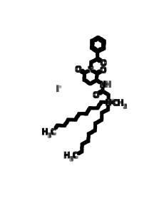 CCCCCCCCCC[N+](C)(CCCCCCCCCC)CC(=O)NC1CCC(=O)N(CC(=O)c2ccccc2)C1=O.[I-]